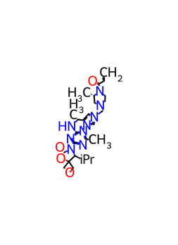 C=CC(=O)N1CCN(Cn2cnc([C@H](C)Nc3nc(C)nc(N4C(=O)OC5(COC5)C4C(C)C)n3)c2)C[C@@H]1C